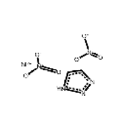 O=[N+]([O-])[O-].O=[N+]([O-])[O-].[Ni+2].c1c[nH]nn1